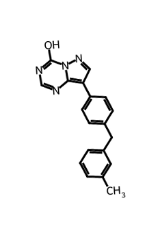 Cc1cccc(Cc2ccc(-c3cnn4c(O)ncnc34)cc2)c1